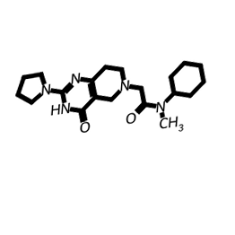 CN(C(=O)CN1CCc2nc(N3CCCC3)[nH]c(=O)c2C1)C1CCCCC1